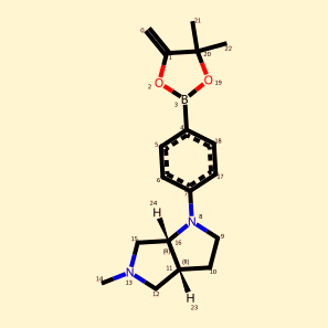 C=C1OB(c2ccc(N3CC[C@@H]4CN(C)C[C@@H]43)cc2)OC1(C)C